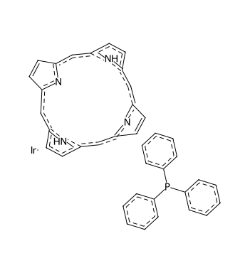 C1=Cc2cc3ccc(cc4nc(cc5ccc(cc1n2)[nH]5)C=C4)[nH]3.[Ir].c1ccc(P(c2ccccc2)c2ccccc2)cc1